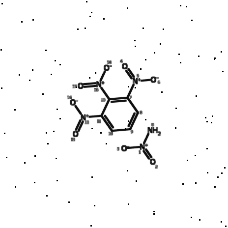 N[N+](=O)[O-].O=[N+]([O-])c1cccc([N+](=O)[O-])c1[N+](=O)[O-]